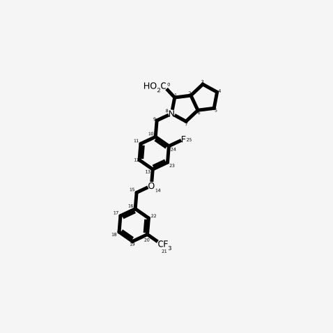 O=C(O)C1C2CCCC2CN1Cc1ccc(OCc2cccc(C(F)(F)F)c2)cc1F